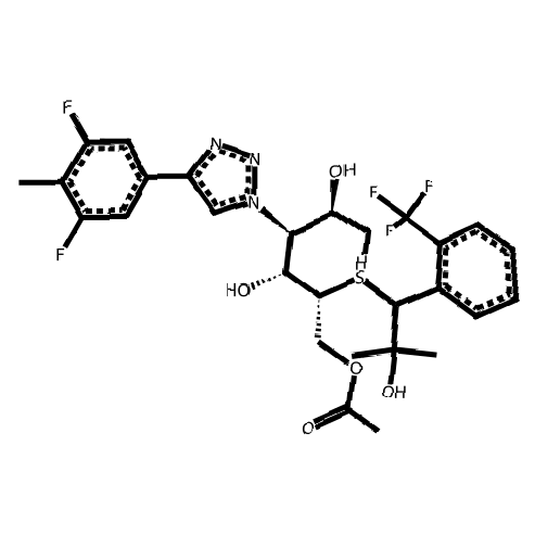 CC(=O)OC[C@@H]1[C@H](O)[C@@H](n2cc(-c3cc(F)c(C)c(F)c3)nn2)[C@@H](O)C[SH]1C(c1ccccc1C(F)(F)F)C(C)(C)O